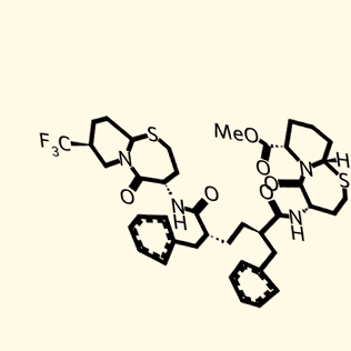 COC(=O)[C@@H]1CCC[C@@H]2SCC[C@H](NC(=O)[C@H](CC[C@H](Cc3ccccc3)C(=O)N[C@H]3CCSC4CC[C@H](C(F)(F)F)CN4C3=O)Cc3ccccc3)C(=O)N21